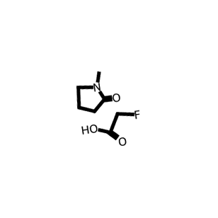 CN1CCCC1=O.O=C(O)CF